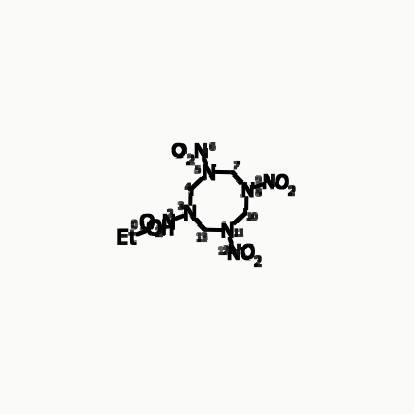 CCO.O=[N+]([O-])N1CN([N+](=O)[O-])CN([N+](=O)[O-])CN([N+](=O)[O-])C1